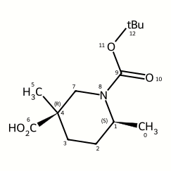 C[C@H]1CC[C@@](C)(C(=O)O)CN1C(=O)OC(C)(C)C